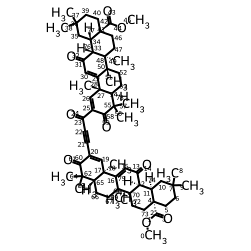 COC(=O)[C@@]12CCC(C)(C)C[C@@H]1[C@@H]1C(=O)C=C3[C@]4(C)C=C(C#CC(=O)C5=C[C@]6(C)C7=CC(=O)[C@@H]8[C@@H]9CC(C)(C)CC[C@]9(C(=O)OC)CC[C@@]8(C)[C@]7(C)CC[C@H]6C(C)(C)C5=O)C(=O)C(C)(C)[C@H]4CC[C@]3(C)[C@@]1(C)CC2